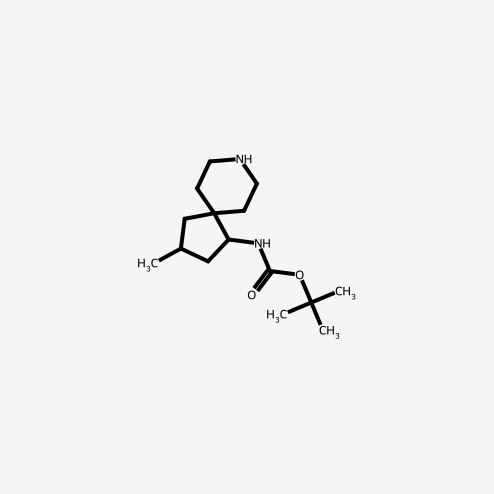 CC1CC(NC(=O)OC(C)(C)C)C2(CCNCC2)C1